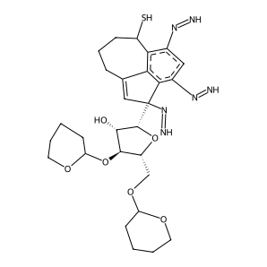 N=Nc1cc(N=N)c2c3c1C(S)CCCC3=CC2(N=N)[C@@H]1O[C@H](COC2CCCCO2)[C@@H](OC2CCCCO2)[C@@H]1O